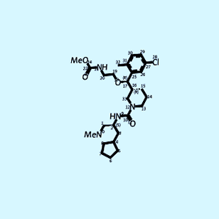 CNC[C@H](CC1CCCC1)NC(=O)N1CCC[C@@H]([C@@H](OCCNC(=O)OC)c2cc(Cl)ccc2C)C1